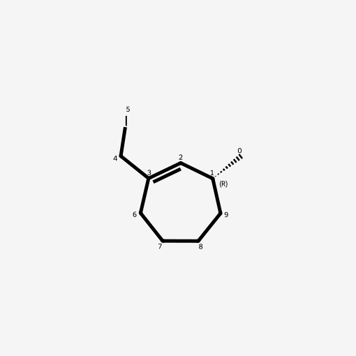 C[C@H]1C=C(CI)CCCC1